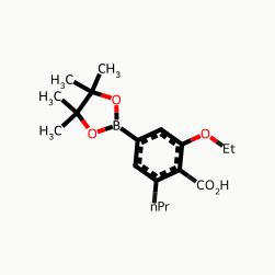 CCCc1cc(B2OC(C)(C)C(C)(C)O2)cc(OCC)c1C(=O)O